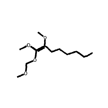 CCCCCCC(OC)=C(OC)OCOC